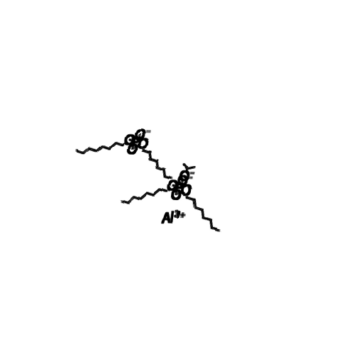 CC(C)[O-].CCCCCCCCOP(=O)([O-])OCCCCCCCC.CCCCCCCCOP(=O)([O-])OCCCCCCCC.[Al+3]